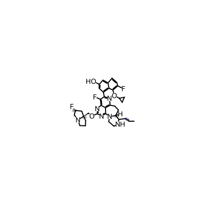 C/C=C/C1NCCN2c3nc(OC[C@@]45CCCN4C[C@H](F)C5)nc4c(F)c(-c5cc(O)cc6ccc(F)c(OC7CC7)c56)nc(c34)CC[C@H]12